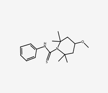 COC1CC(C)(C)N(C(=S)Nc2ccccc2)C(C)(C)C1